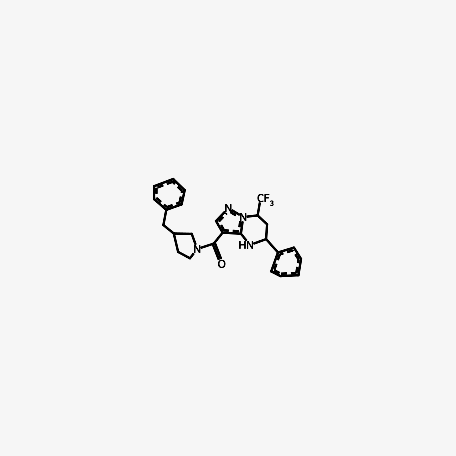 O=C(c1cnn2c1NC(c1ccccc1)CC2C(F)(F)F)N1CCC(Cc2ccccc2)C1